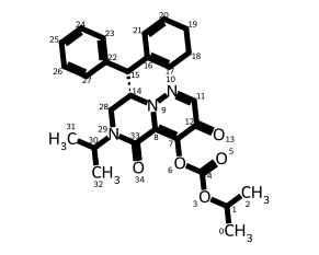 CC(C)OC(=O)Oc1c2n(ncc1=O)[C@@H](C(C1=CCCC=C1)c1ccccc1)CN(C(C)C)C2=O